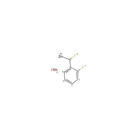 Br.Fc1ccccc1[CH](F)[Zn]